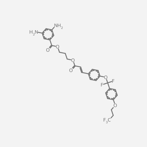 Nc1cc(N)cc(C(=O)OCCCOC(=O)C=Cc2ccc(OC(F)(F)c3ccc(OCCC(F)(F)F)cc3)cc2)c1